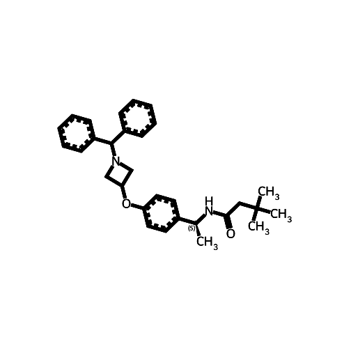 C[C@H](NC(=O)CC(C)(C)C)c1ccc(OC2CN(C(c3ccccc3)c3ccccc3)C2)cc1